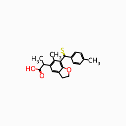 Cc1ccc(C(=S)c2c(C)c(C(C)C(=O)O)cc3c2OCC3)cc1